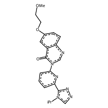 COCCOc1ccc2ncn(-c3cccc(-c4nncn4C(C)C)n3)c(=O)c2c1